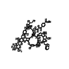 CCCCNc1ccc(NC(=O)NC(=O)C[C@@H]2CC(=O)[C@H](NC(=O)[C@H](CC)CC(C)C)[C@H](O)c3ccc(c(Cl)c3)Oc3cc4cc(c3O[C@@H]3O[C@H](CO)[C@@H](O)[C@H](O)[C@H]3O[C@H]3C[C@](C)(N)[C@H](O)[C@H](C)O3)Oc3ccc(cc3Cl)[C@@H](O)[C@@H]3NC(=O)[C@H](CC(=O)[C@@H]4NC2=O)c2ccc(O)c(c2)-c2c(O)cc(O)cc2[C@@H](C(=O)CC2C4CC5CC(C4)CC2C5)NC3=O)cc1